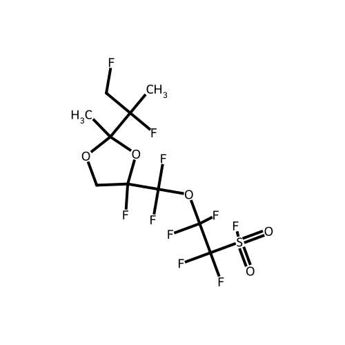 CC(F)(CF)C1(C)OCC(F)(C(F)(F)OC(F)(F)C(F)(F)S(=O)(=O)F)O1